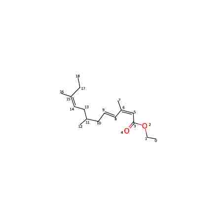 CCOC(=O)C=C(C)C=CCC(C)CC=C(C)CC